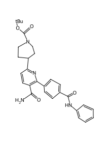 CC(C)(C)OC(=O)N1CCC(c2ccc(C(N)=O)c(-c3ccc(C(=O)Nc4ccccc4)cc3)n2)CC1